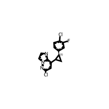 Fc1cc([C@H]2CC2c2cc(Cl)nn3ccnc23)ccc1Cl